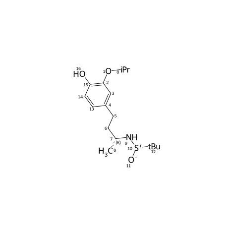 CC(C)Oc1cc(CC[C@@H](C)N[S+]([O-])C(C)(C)C)ccc1O